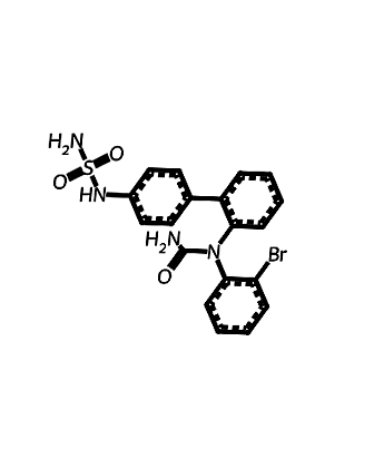 NC(=O)N(c1ccccc1Br)c1ccccc1-c1ccc(NS(N)(=O)=O)cc1